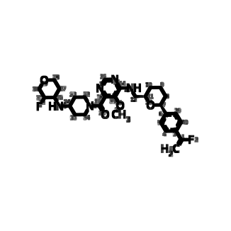 C=C(F)c1ccc([C@@H]2CCC[C@H](CNc3ncnc(C(=O)N4CCC(NC5CCOCC5F)CC4)c3OC)O2)cc1